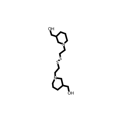 OCC1CCCN(CCSSCCN2CCCC(CO)C2)C1